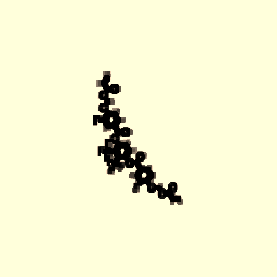 C=CC(=O)OCOc1ccc(C(=O)Oc2ccc(OC(=O)c3ccc(OCOC(=O)C=C)c(F)c3)c(C(F)(F)F)c2C(F)(F)F)cc1F